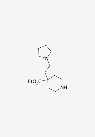 CCOC(=O)C1(CCN2CCCC2)CCNCC1